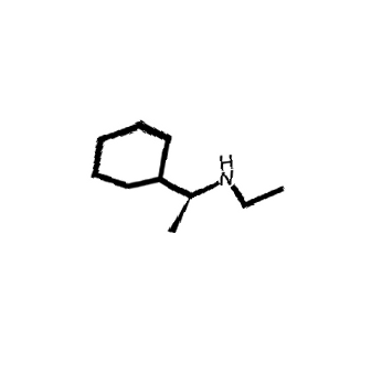 CCN[C@@H](C)C1CCCCC1